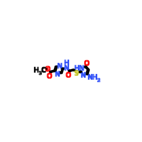 COC(=O)c1cnc(NC(=O)CSc2nc(N)cc(=O)[nH]2)cn1